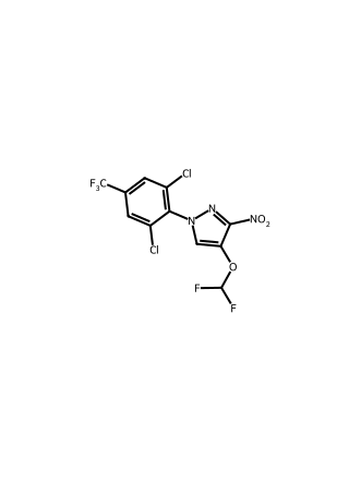 O=[N+]([O-])c1nn(-c2c(Cl)cc(C(F)(F)F)cc2Cl)cc1OC(F)F